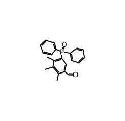 Cc1c(C=O)cc(P(=O)(c2ccccc2)c2ccccc2)c(C)c1C